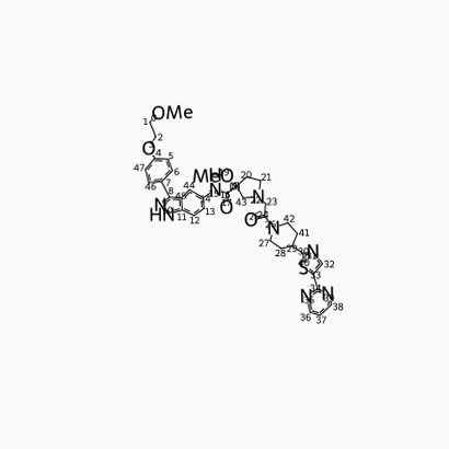 COCCOc1ccc(-c2n[nH]c3ccc(NC(=O)[C@]4(OC)CCN(CC(=O)N5CCC(c6ncc(-c7ncccn7)s6)CC5)C4)cc23)cc1